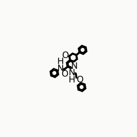 O=C1CC(c2ccccc2)Cc2nc(NCCOc3ccccc3)c(C(=O)Nc3ccccc3)cc21